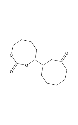 O=C1CCCCCC(C2CCCCOC(=O)O2)C1